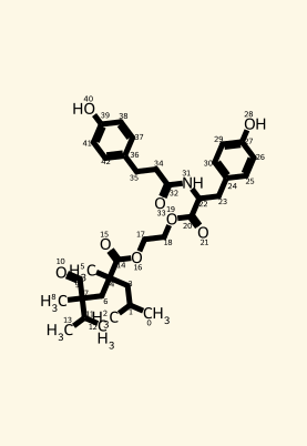 CC(C)CC(C)(CC(C)(C=O)C(C)C)C(=O)OCCOC(=O)C(Cc1ccc(O)cc1)NC(=O)CCc1ccc(O)cc1